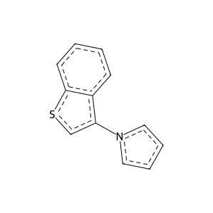 c1ccc2c(-n3cccc3)csc2c1